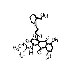 CC(Nc1ccc(NCCN2CCCC2CO)c2c1C(=O)c1c(O)ccc(O)c1C2=O)N(C)C